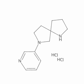 Cl.Cl.c1cncc(N2CCC3(CCCN3)C2)c1